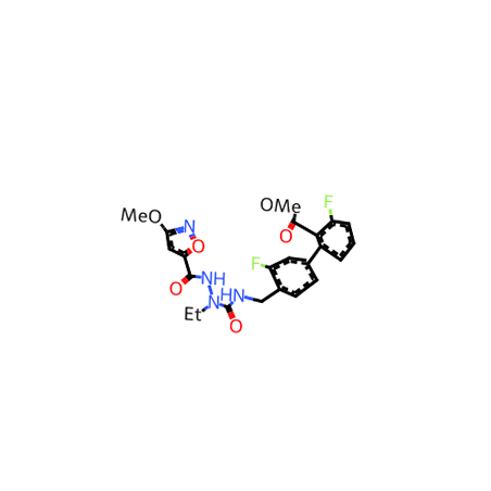 CCN(NC(=O)c1cc(OC)no1)C(=O)NCc1ccc(-c2cccc(F)c2C(=O)OC)cc1F